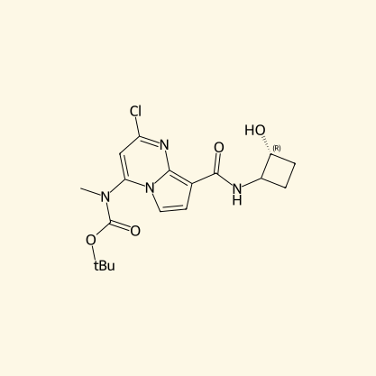 CN(C(=O)OC(C)(C)C)c1cc(Cl)nc2c(C(=O)NC3CC[C@H]3O)ccn12